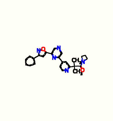 CC(C)(C(=O)N1CCC1)c1cc(-c2cncc(-c3cc(-c4ccccc4)no3)n2)ccn1